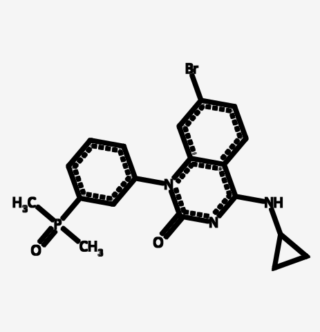 CP(C)(=O)c1cccc(-n2c(=O)nc(NC3CC3)c3ccc(Br)cc32)c1